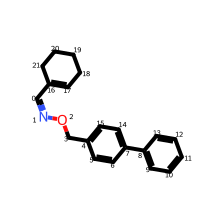 [C](=N/OCc1ccc(-c2ccccc2)cc1)/C1=CCCCC1